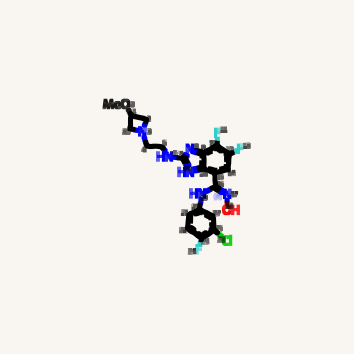 COC1CN(CCNc2nc3c(F)c(F)cc(/C(=N/O)Nc4ccc(F)c(Cl)c4)c3[nH]2)C1